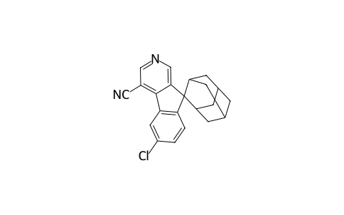 N#Cc1cncc2c1-c1cc(Cl)ccc1C21C2CC3CC(C2)CC1C3